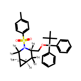 [2H]C1([2H])[C@H]2C[C@@]2([2H])C([2H])([2H])N(S(=O)(=O)c2ccc(C)cc2)[C@]1([2H])CO[Si](c1ccccc1)(c1ccccc1)C(C)(C)C